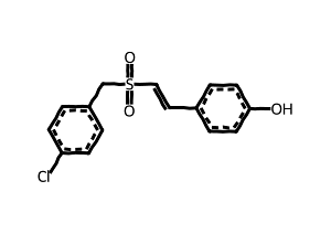 O=S(=O)(/C=C/c1ccc(O)cc1)Cc1ccc(Cl)cc1